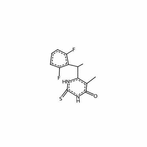 Cc1c(C(C)c2c(F)cccc2F)[nH]c(=S)[nH]c1=O